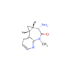 CN1C(=O)[C@@H](N)[C@H]2C[C@H]2c2cccnc21